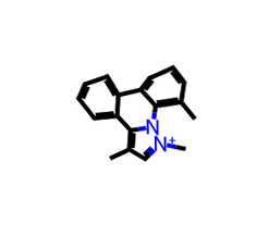 Cc1cccc2c3ccccc3c3c(C)c[n+](C)n3c12